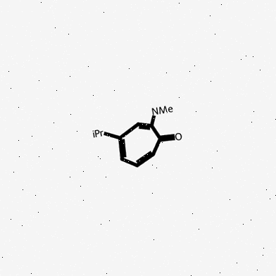 CNc1cc(C(C)C)cccc1=O